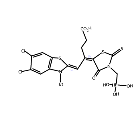 CCN1/C(=C/C(CCC(=O)O)=C2/SC(=S)N(C[PH](O)(O)O)C2=O)Sc2cc(Cl)c(Cl)cc21